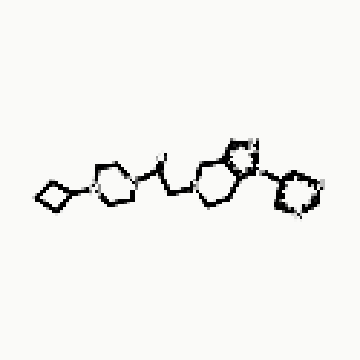 O=C(CN1CCc2c(cnn2-c2cncnc2)C1)N1CCN(C2CCC2)CC1